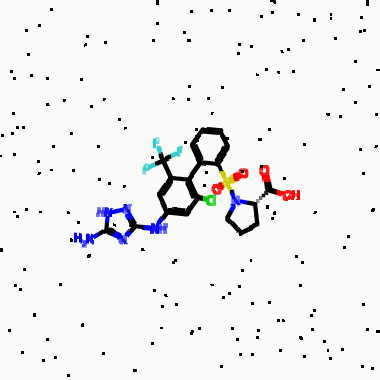 Nc1nc(Nc2cc(Cl)c(-c3ccccc3S(=O)(=O)N3CCC[C@H]3C(=O)O)c(C(F)(F)F)c2)n[nH]1